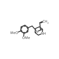 C=CC1C2CCC(CN2)N1Cc1ccc(OC)c(OC)c1